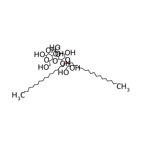 CCCCCCCCCCCCCCCCCCC(CCCCCCCCCCCCCCCCCC)(O[C@@H]1[C@@H](O)[C@@H](O[C@H]2[C@H](O)[C@@H](O)[C@H](O)O[C@@H]2CO)O[C@H](CO)[C@H]1O)C(O)CO